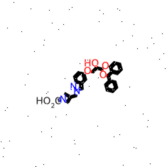 O=C(OC(c1ccccc1)c1ccccc1)C(O)COc1ccc2nn(CC3CN(C(=O)O)C3)cc2c1